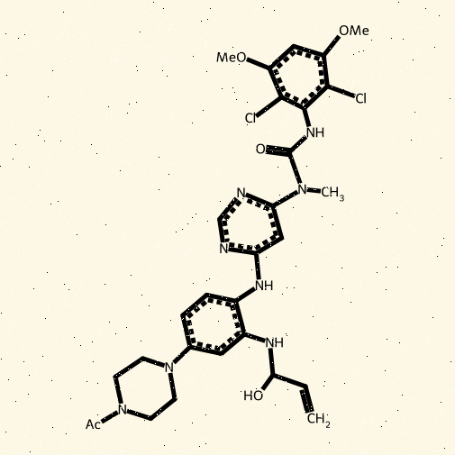 C=CC(O)Nc1cc(N2CCN(C(C)=O)CC2)ccc1Nc1cc(N(C)C(=O)Nc2c(Cl)c(OC)cc(OC)c2Cl)ncn1